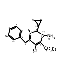 CCOC(=O)C1=C(Cl)C(Cc2ccccc2)=NC(C2CC2)N1N